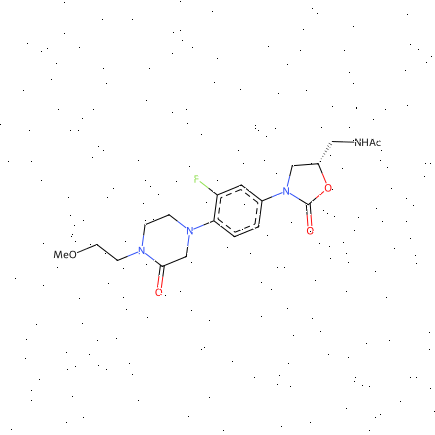 COCCN1CCN(c2ccc(N3C[C@H](CNC(C)=O)OC3=O)cc2F)CC1=O